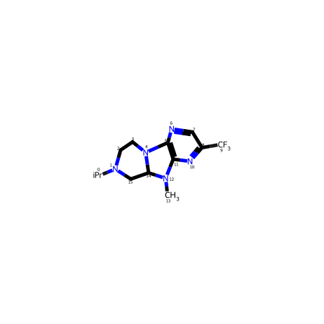 CC(C)N1CCN2c3ncc(C(F)(F)F)nc3N(C)C2C1